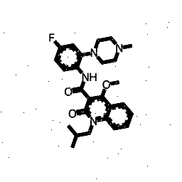 COc1c(C(=O)Nc2ccc(F)cc2N2CCN(C)CC2)c(=O)n(CC(C)C)c2ccccc12